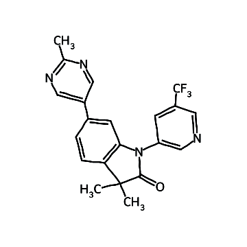 Cc1ncc(-c2ccc3c(c2)N(c2cncc(C(F)(F)F)c2)C(=O)C3(C)C)cn1